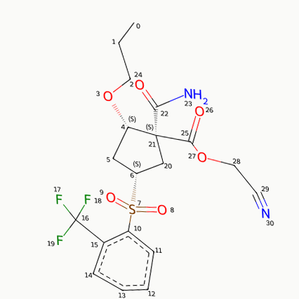 CCCO[C@H]1C[C@@H](S(=O)(=O)c2ccccc2C(F)(F)F)C[C@]1(C(N)=O)C(=O)OCC#N